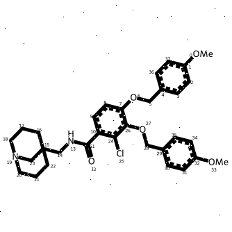 COc1ccc(COc2ccc(C(=O)NCC34CCCN(CCC3)C4)c(Cl)c2OCc2ccc(OC)cc2)cc1